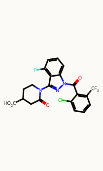 O=C(O)C1CCN(c2nn(C(=O)c3c(Cl)cccc3C(F)(F)F)c3cccc(F)c23)C(=O)C1